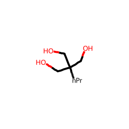 CCCC(CO)(CO)CO